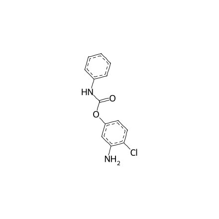 Nc1cc(OC(=O)Nc2ccccc2)ccc1Cl